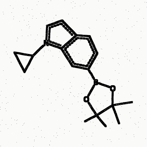 CC1(C)OB(c2ccc3ccn(C4CC4)c3c2)OC1(C)C